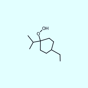 CCC1CCC(OO)(C(C)C)CC1